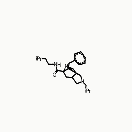 CC(C)CCNC(=O)C12CC3CN(CC(C)C)C(C3C=N1)C2Cc1ccccc1